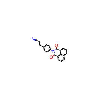 N#CC=Cc1ccc(N2C(=O)c3cccc4cccc(c34)C2=O)cc1